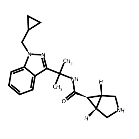 CC(C)(NC(=O)[C@H]1[C@@H]2CNC[C@@H]21)c1nn(CC2CC2)c2ccccc12